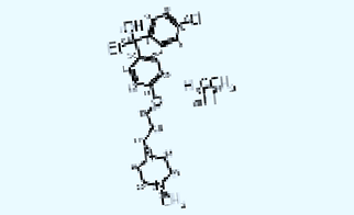 CCC(O)(c1ccc(Cl)cc1)c1ccc(OCCCN2CCN(C)CC2)cc1.CI.CI